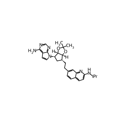 CC(C)Nc1ccc2ccc(CC[C@H]3C[C@@H](n4ccc5c(N)ncnc54)[C@@H]4OC(C)(C)O[C@H]34)cc2n1